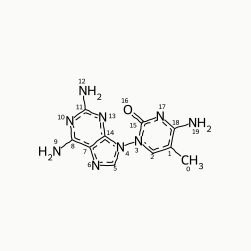 Cc1cn(-n2cnc3c(N)nc(N)nc32)c(=O)nc1N